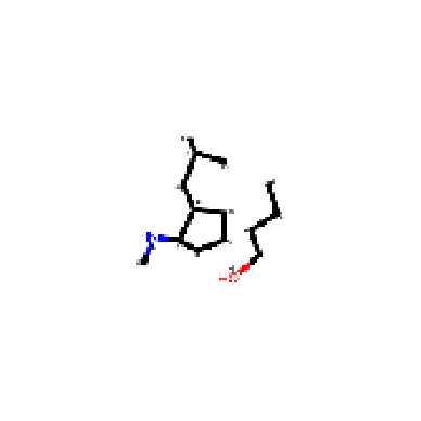 CCCCO.CNC1CCCC1CC(C)C